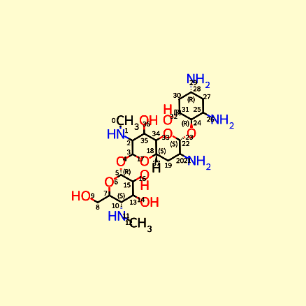 CNC1C(O[C@H]2OC(CO)[C@@H](NC)C(O)C2O)O[C@H]2CC(N)[C@@H](O[C@@H]3C(N)C[C@@H](N)C[C@H]3O)OC2C1O